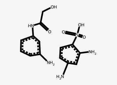 Nc1ccc(S(=O)(=O)O)c(N)c1.Nc1cccc(NC(=O)CO)c1